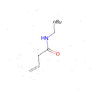 [CH2]CCCCNC(=O)CC=C